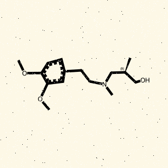 COc1ccc(CCN(C)C[C@@H](C)CO)cc1OC